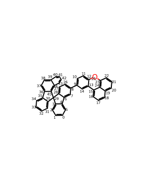 c1ccc2c(c1)-c1cc(-c3ccc4c(c3)-c3cccc5cccc(c35)O4)ccc1C21c2ccccc2-c2ccc3ccccc3c21